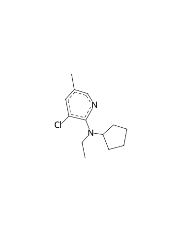 CCN(c1ncc(C)cc1Cl)C1CCCC1